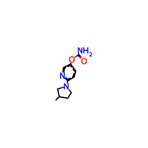 CC1CCN(c2ccc(OC(N)=O)cn2)C1